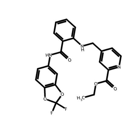 CCOC(=O)c1cc(CNc2ccccc2C(=O)Nc2ccc3c(c2)OC(F)(F)O3)ccn1